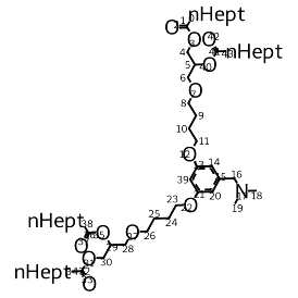 CCCCCCCC(=O)OCC(COCCCCOc1cc(CN(C)C)cc(OCCCCOCC(COC(=O)CCCCCCC)OC(=O)CCCCCCC)c1)OC(=O)CCCCCCC